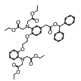 CCOC(=O)CN(CC(=O)OCC)c1ccccc1OCCOc1ccc(CC(=O)OC(c2ccccc2)c2ccccc2)cc1N(CC(=O)OCC)CC(=O)OCC